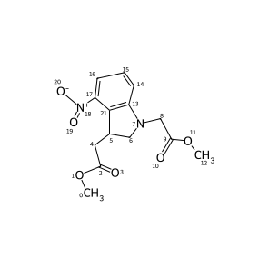 COC(=O)CC1CN(CC(=O)OC)c2cccc([N+](=O)[O-])c21